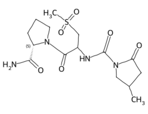 CC1CC(=O)N(C(=O)NC(CS(C)(=O)=O)C(=O)N2CCC[C@H]2C(N)=O)C1